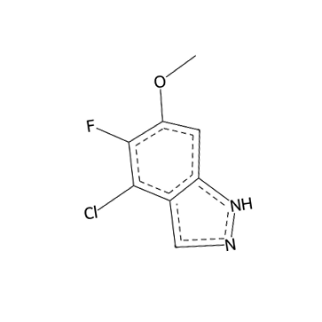 COc1cc2[nH]ncc2c(Cl)c1F